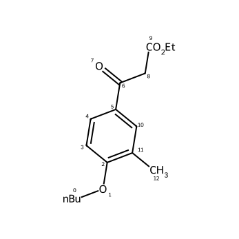 CCCCOc1ccc(C(=O)CC(=O)OCC)cc1C